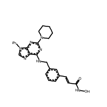 CC(C)n1cnc2c(NCc3cccc(/C=C/C(=O)NO)c3)nc(N3CCCCC3)nc21